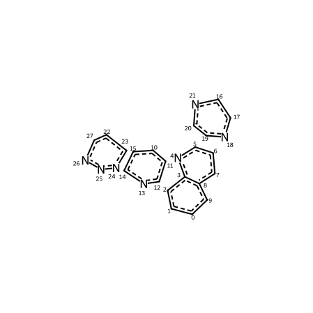 c1ccc2ncccc2c1.c1ccncc1.c1cnccn1.c1cnnnc1